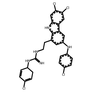 N=C(NCCc1cc(Nc2ccc(Cl)cc2)cc2c1[nH]c1cc(Cl)c(Cl)cc12)NC1C=CC(Cl)=CC1